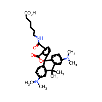 CN(C)c1ccc2c(c1)C(C)(C)c1cc(N(C)C)ccc1C21OC(=O)c2c(C(=O)NCCCCCC(=O)O)cccc21